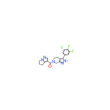 Cn1nc2c(c1-c1cc(F)c(F)c(F)c1)CCN(C(=O)c1cnn3c1CCC3)C2